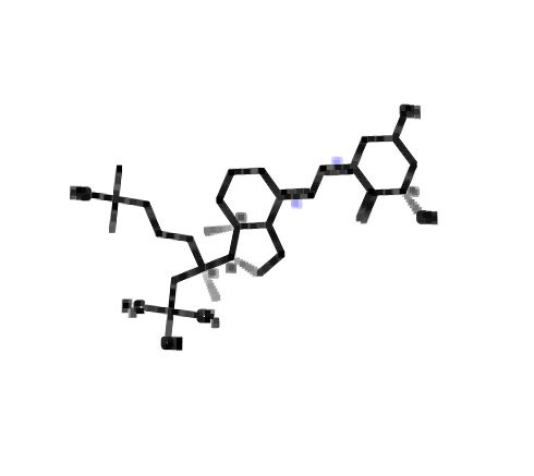 C=C1/C(=C\C=C2/CCC[C@@]3(C)C2CC[C@@H]3[C@](C)(CCCC(C)(C)O)CC(O)(C(F)(F)F)C(F)(F)F)CC(O)C[C@@H]1O